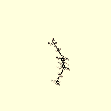 C=C(C)C(=O)OCCNC(=O)OCCCOc1c(C)cc(C(C)(C)c2cc(C)c(OCCCOC(=O)NCCOC(=O)C(=C)C)c(C)c2)cc1C